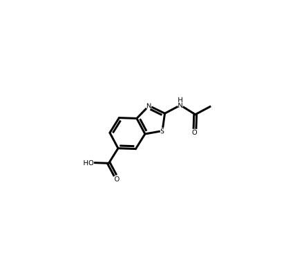 CC(=O)Nc1nc2ccc(C(=O)O)cc2s1